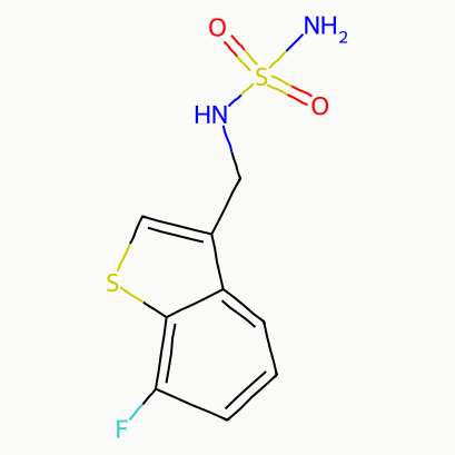 NS(=O)(=O)NCc1csc2c(F)cccc12